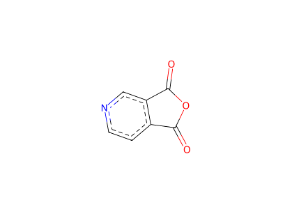 O=C1OC(=O)c2cnccc21